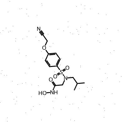 CC(C)CN(CC(=O)NO)S(=O)(=O)c1ccc(OCC#N)cc1